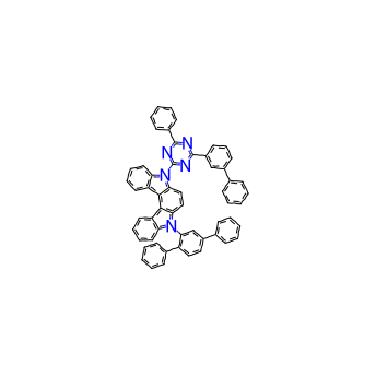 c1ccc(-c2cccc(-c3nc(-c4ccccc4)nc(-n4c5ccccc5c5c6c7ccccc7n(-c7cc(-c8ccccc8)ccc7-c7ccccc7)c6ccc54)n3)c2)cc1